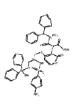 COC(=O)N(C(=O)[C@@H](N)C(c1ccccc1)c1ccccc1)c1c(SC[C@@H](CO[Si](c2ccccc2)(c2ccccc2)C(C)(C)C)NS(=O)(=O)c2ccc([N+](=O)[O-])cc2)cc[nH]c1=O